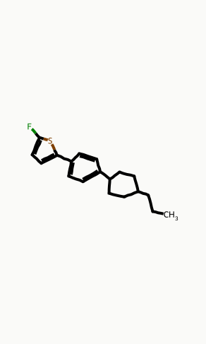 CCCC1CCC(c2ccc(-c3ccc(F)s3)cc2)CC1